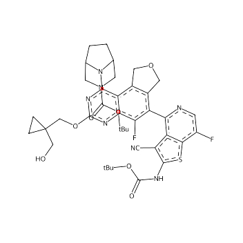 CC(C)(C)OC(=O)Nc1sc2c(F)cnc(-c3c4c(c5c(N6C7CCC6CN(C(=O)OC(C)(C)C)C7)nc(OCC6(CO)CC6)nc5c3F)COC4)c2c1C#N